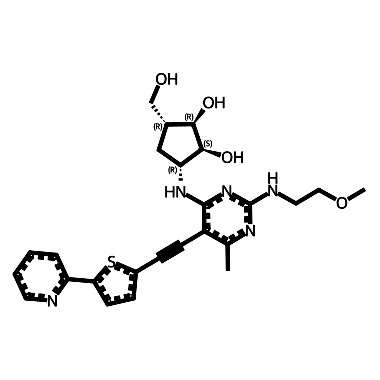 COCCNc1nc(C)c(C#Cc2ccc(-c3ccccn3)s2)c(N[C@@H]2C[C@H](CO)[C@@H](O)[C@H]2O)n1